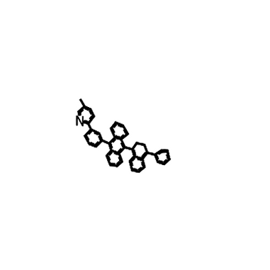 Cc1ccc(-c2cccc(-c3c4ccccc4c(C4=c5ccccc5=C(c5ccccc5)CC4)c4ccccc34)c2)nc1